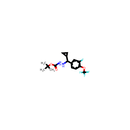 CC(C)(C)OC(=O)NNC(c1ccc(OC(F)(F)F)c(F)c1)C1CC1